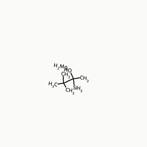 CC(C)(C)C(C)(O)[SiH3].[MgH2]